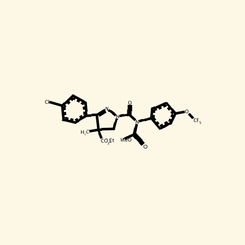 CCOC(=O)C1(C)CN(C(=O)N(C(=O)OC)c2ccc(OC(F)(F)F)cc2)N=C1c1ccc(Cl)cc1